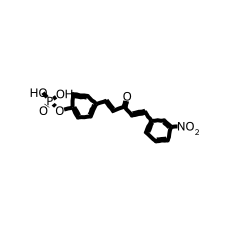 O=C(/C=C/c1ccc(OP(=O)(O)O)cc1)/C=C/c1cccc([N+](=O)[O-])c1